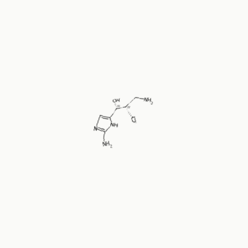 NC[C@H](Cl)[C@@H](O)c1cnc(N)[nH]1